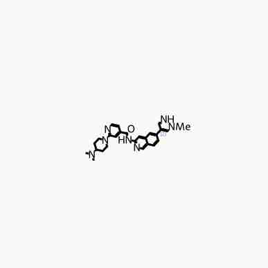 CN/C=C(\C=N)c1ccc2cnc(NC(=O)c3ccnc(N4CCC(N(C)C)CC4)c3)cc2c1